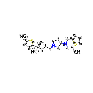 CC(C)C(C#N)(CCCN1CC[C@@H](N(CCC#N)Cc2cccs2)C1)c1ccc(C#N)s1